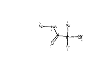 O=C(NBr)C(Br)(Br)Br